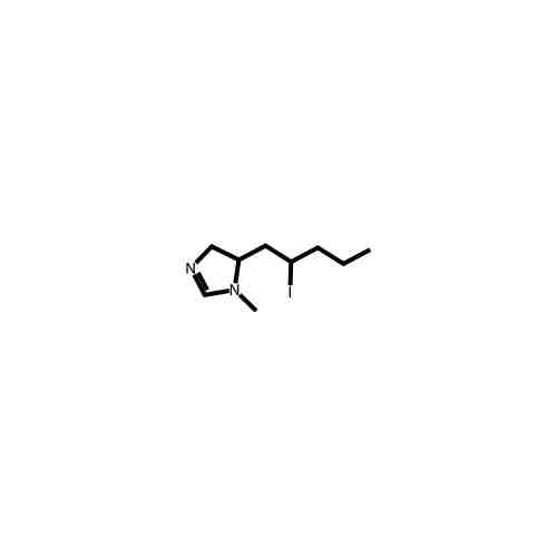 CCCC(I)CC1CN=CN1C